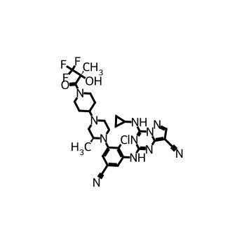 C[C@H]1CN(C2CCN(C(=O)[C@](C)(O)C(F)(F)F)CC2)CCN1c1cc(C#N)cc(Nc2nc(NC3CC3)n3ncc(C#N)c3n2)c1Cl